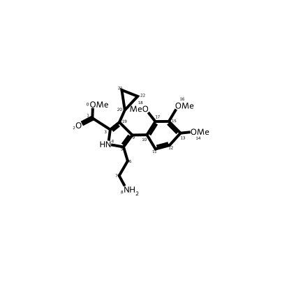 COC(=O)c1[nH]c(CCN)c(-c2ccc(OC)c(OC)c2OC)c1C1CC1